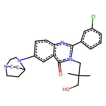 CC(C)(CO)Cn1c(-c2cccc(Cl)c2)nc2ccc(N3CCN4CCC3CC4)cc2c1=O